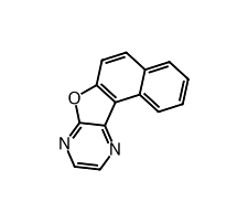 c1ccc2c(c1)ccc1oc3nccnc3c12